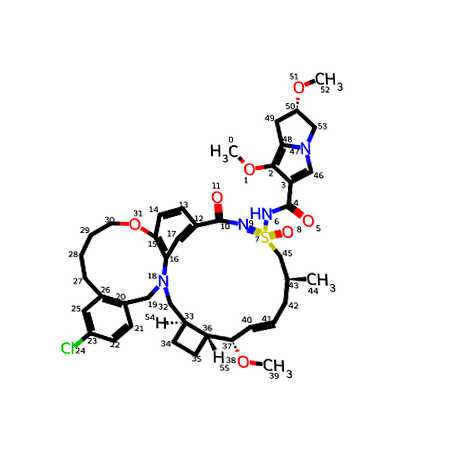 COc1c(C(=O)NS2(=O)=NC(=O)c3ccc4c(c3)N(Cc3ccc(Cl)cc3CCCCO4)C[C@@H]3CC[C@H]3[C@@H](OC)/C=C/C[C@H](C)C2)cn2c1C[C@H](OC)C2